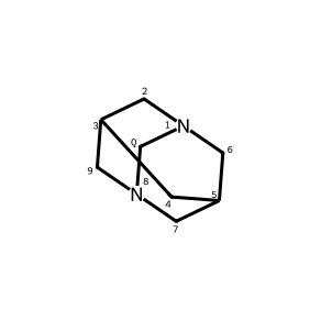 [CH]1N2CC3CC(C2)CN1C3